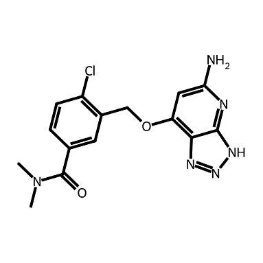 CN(C)C(=O)c1ccc(Cl)c(COc2cc(N)nc3[nH]nnc23)c1